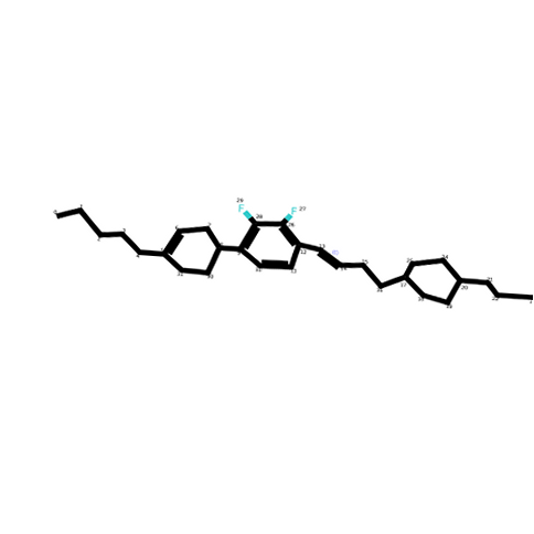 CCCCCC1=CCC(c2ccc(/C=C/CCC3CCC(CCC)CC3)c(F)c2F)CC1